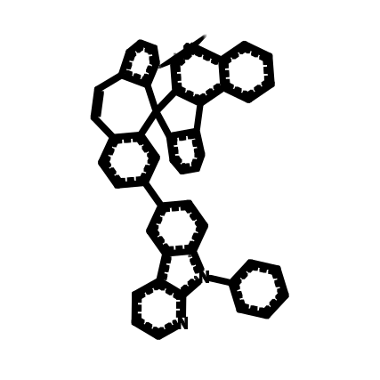 C1=Cc2ccc(-c3ccc4c(c3)c3cccnc3n4-c3ccccc3)cc2C2(c3ccccc31)c1ccccc1-c1c2c2ccccc2c2ccccc12